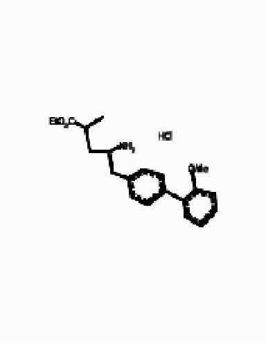 CCOC(=O)[C@@H](C)CC(N)Cc1ccc(-c2ccccc2OC)cc1.Cl